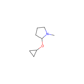 CN1CCCC1OC1CC1